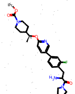 CC(C)OC(=O)N1CCC([C@H](C)Oc2ccc(-c3ccc(CC(N)C(=O)N4CC[C@H](F)C4)c(F)c3)cn2)CC1